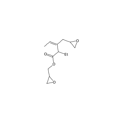 CC=C(CC1CO1)C(CC)C(=O)OCC1CO1